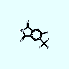 O=C1NC(=O)c2cc(C(F)(F)F)c(I)cc21